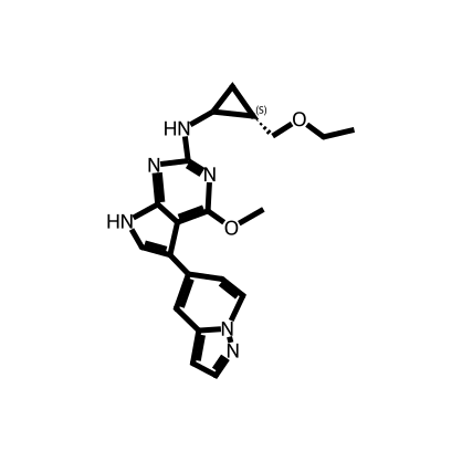 CCOC[C@H]1CC1Nc1nc(OC)c2c(-c3ccn4nccc4c3)c[nH]c2n1